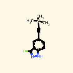 C[Si](C)(C)C#Cc1ccc2[nH]nc(F)c2c1